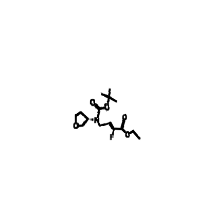 CCOC(=O)/C(F)=C/CN(C(=O)OC(C)(C)C)[C@H]1CCOC1